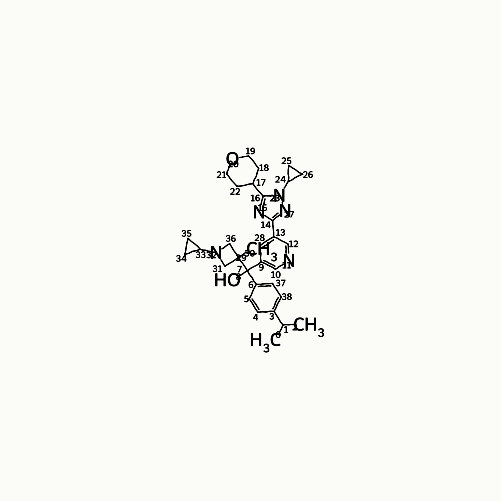 CC(C)c1ccc(C(O)(c2cncc(-c3nc(C4CCOCC4)n(C4CC4)n3)c2)C2(C)CN(C3CC3)C2)cc1